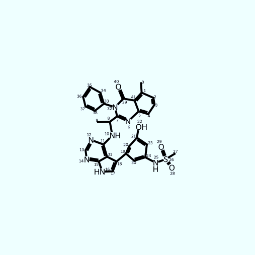 Cc1cccc2nc(C(C)Nc3ncnc4[nH]cc(-c5cc(O)cc(NS(C)(=O)=O)c5)c34)n(-c3ccccc3)c(=O)c12